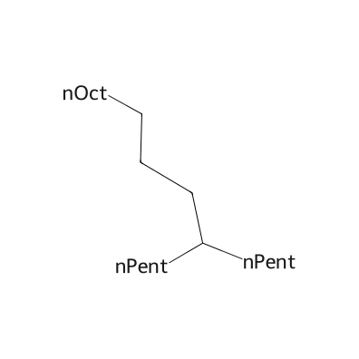 CCCCCCCCCCCC(CCCCC)CCCCC